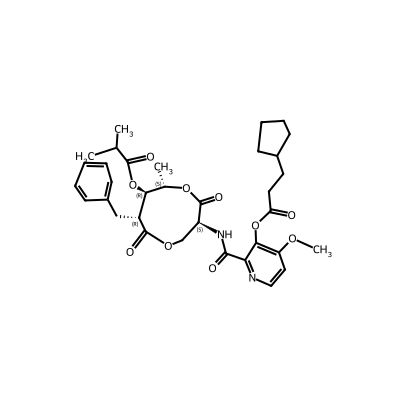 COc1ccnc(C(=O)N[C@H]2COC(=O)[C@H](Cc3ccccc3)[C@@H](OC(=O)C(C)C)[C@H](C)OC2=O)c1OC(=O)CCC1CCCC1